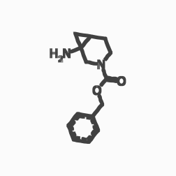 NC12CC1CCN(C(=O)OCc1ccccc1)C2